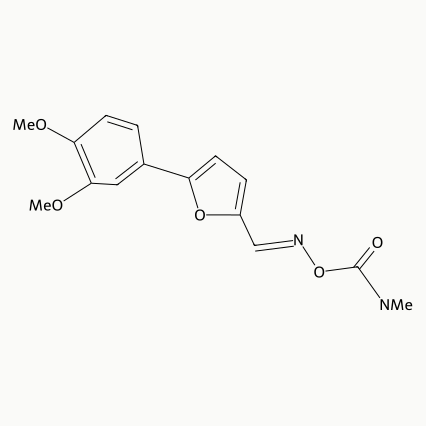 CNC(=O)O/N=C/c1ccc(-c2ccc(OC)c(OC)c2)o1